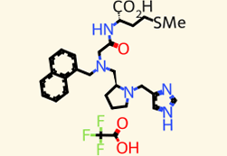 CSCC[C@H](NC(=O)CN(Cc1cccc2ccccc12)C[C@@H]1CCCN1Cc1c[nH]cn1)C(=O)O.O=C(O)C(F)(F)F